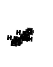 CCSCC(N)C(CNC[C@@H](O)[C@@H](N)Cc1ccccc1)SCC